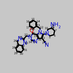 N#Cc1c(N2CCC[C@H](N)C2)n(Cc2ccccc2)c2c(=O)n(Cc3ncc4ccccc4n3)cnc12